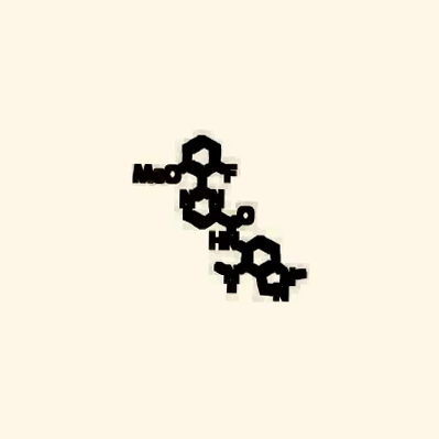 COc1cccc(F)c1-c1nccc(C(=O)Nc2ccc3c(cnn3C)c2N(C)C)n1